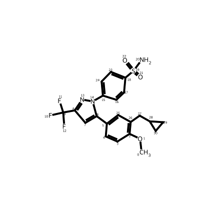 COc1ccc(-c2cc(C(F)(F)F)nn2-c2ccc(S(N)(=O)=O)cc2)cc1CC1CC1